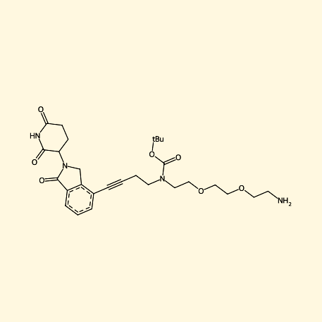 CC(C)(C)OC(=O)N(CCC#Cc1cccc2c1CN(C1CCC(=O)NC1=O)C2=O)CCOCCOCCN